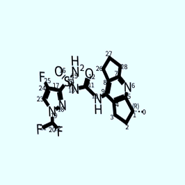 C[C@@H]1CCc2c1nc1c(c2NC(=O)N=[S@](N)(=O)c2nn(C(F)F)cc2F)CCC1